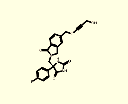 O=C1NC(=O)[C@](CN2Cc3cc(COC#CCO)ccc3C2=O)(c2ccc(F)cc2)N1